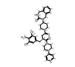 Nc1c(Cl)cc(C[C@@H](CC(=O)N2CCC(N3Cc4ccccc4CNC3=O)CC2)C(=O)N2CCN(c3ccncc3)CC2)cc1C(F)(F)F